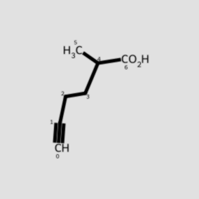 C#CCCC(C)C(=O)O